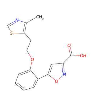 Cc1ncsc1CCOc1ccccc1-c1cc(C(=O)O)no1